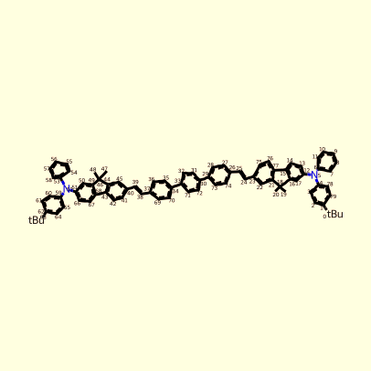 CC(C)(C)c1ccc(N(c2ccccc2)c2ccc3c(c2)C(C)(C)c2cc(/C=C/c4ccc(-c5ccc(-c6ccc(/C=C/c7ccc8c(c7)C(C)(C)c7cc(N(c9ccccc9)c9ccc(C(C)(C)C)cc9)ccc7-8)cc6)cc5)cc4)ccc2-3)cc1